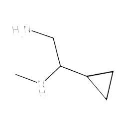 CNC(CN)C1CC1